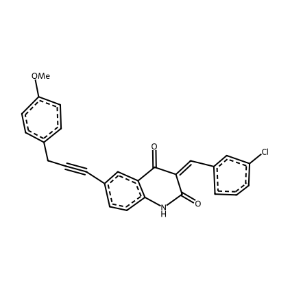 COc1ccc(CC#Cc2ccc3c(c2)C(=O)/C(=C/c2cccc(Cl)c2)C(=O)N3)cc1